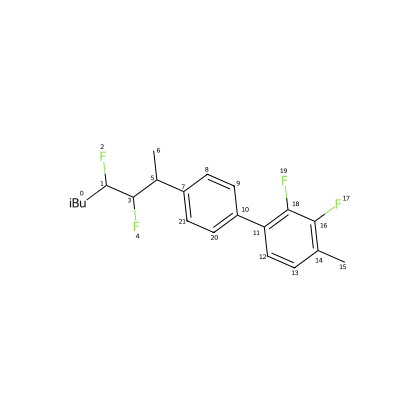 CCC(C)C(F)C(F)C(C)c1ccc(-c2ccc(C)c(F)c2F)cc1